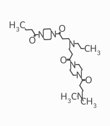 CCCC(=O)N1CCN(C(=O)CCN(CCC)CCC(=O)N2CCN(C(=O)CCN(C)C)CC2)CC1